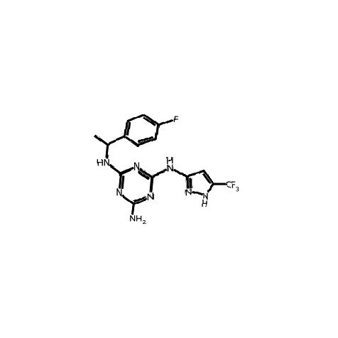 CC(Nc1nc(N)nc(Nc2cc(C(F)(F)F)[nH]n2)n1)c1ccc(F)cc1